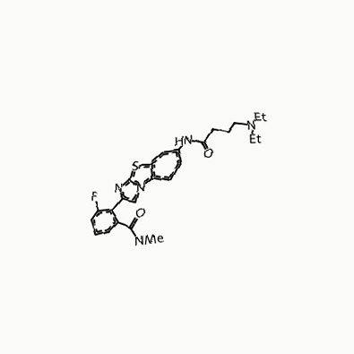 CCN(CC)CCCC(=O)Nc1ccc2c(c1)sc1nc(-c3c(F)cccc3C(=O)NC)cn12